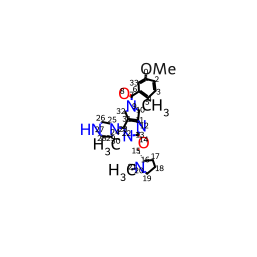 COc1ccc(C)c(C(=O)N2Cc3nc(OC[C@@H]4CCCN4C)nc(N4CCNC[C@@H]4C)c3C2)c1